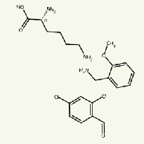 COc1ccccc1CN.NCCCC[C@@H](N)C(=O)O.O=Cc1ccc(Cl)cc1Cl